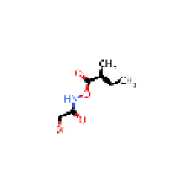 C/C=C(\C)C(=O)ONC(=O)CBr